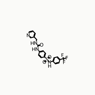 O=C(NCc1cccnc1)Nc1ccc(S(=O)(=O)Nc2ccc(C(F)(F)F)cc2)cc1